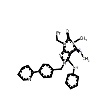 C/N=c1\c2c(Nc3ccccc3)n(Cc3ccc(-c4ccccn4)cc3)nc2n(CC(C)C)c(=O)n1C